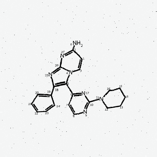 Nc1ccn2c(-c3ccnc(N4CCCCC4)n3)c(-c3ccccc3)nc2n1